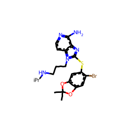 CC(C)NCCCn1c(Sc2cc3c(cc2Br)OC(C)(C)O3)nc2c(N)nccc21